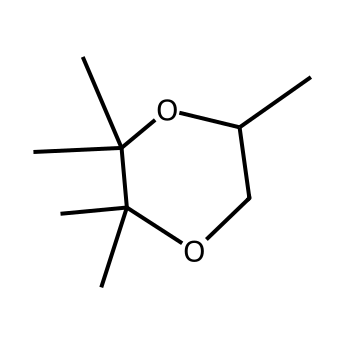 CC1COC(C)(C)C(C)(C)O1